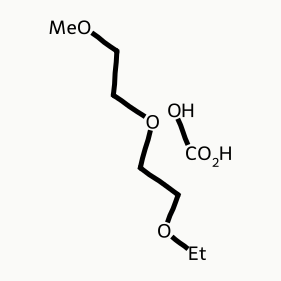 CCOCCOCCOC.O=C(O)O